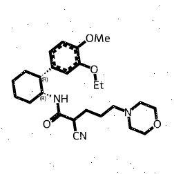 CCOc1cc([C@H]2CCCC[C@H]2NC(=O)C(C#N)CCCN2CCOCC2)ccc1OC